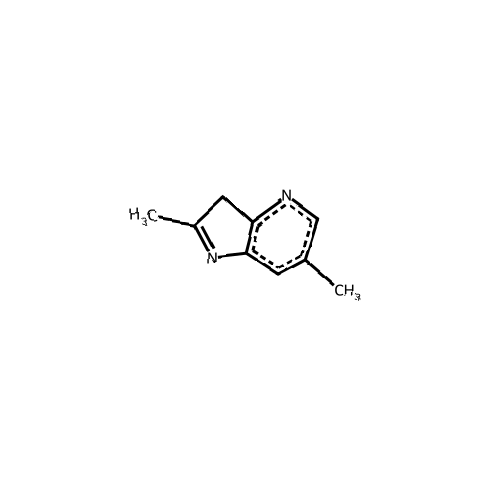 CC1=Nc2cc(C)cnc2C1